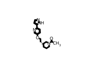 CC(=O)N1CCC[C@H](CCOc2ccc(-c3ccn[nH]3)nc2)C1